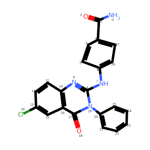 NC(=O)c1ccc(Nc2nc3ccc(Cl)cc3c(=O)n2-c2ccccc2)cc1